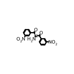 NN(C(=O)c1cccc([N+](=O)[O-])c1)C(=O)c1cccc([N+](=O)[O-])c1